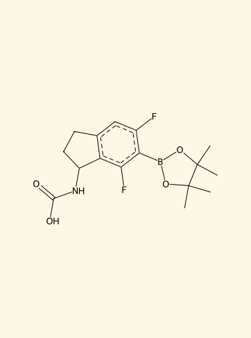 CC1(C)OB(c2c(F)cc3c(c2F)C(NC(=O)O)CC3)OC1(C)C